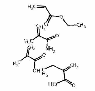 C=C(C)C(=O)O.C=C(C)C(N)=O.C=C(CC)C(=O)O.C=CC(=O)OCC